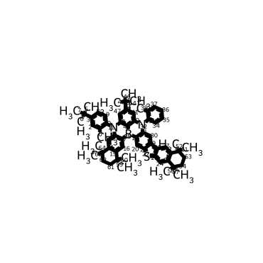 Cc1cc(C(C)(C)C)ccc1N1c2cc3c(cc2B2c4cc5sc6cc7c(cc6c5cc4N(c4ccccc4C)c4cc(C(C)(C)C)cc1c42)C(C)(C)CCC7(C)C)C(C)(C)CCC3(C)C